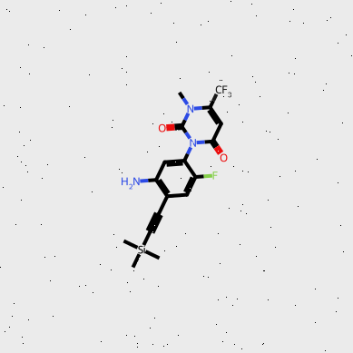 Cn1c(C(F)(F)F)cc(=O)n(-c2cc(N)c(C#C[Si](C)(C)C)cc2F)c1=O